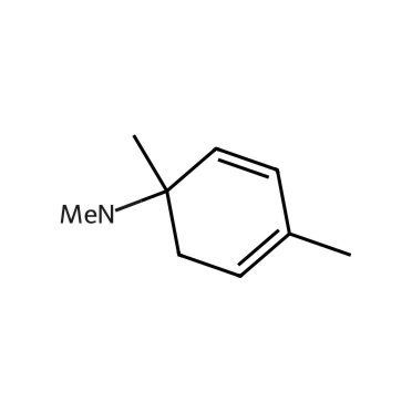 CNC1(C)C=CC(C)=CC1